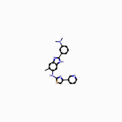 Cc1cc2nc(-c3cccc(N(C)C)c3)[nH]c2cc1Nc1nc(-c2cccnc2)cs1